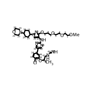 COCCOCCOCCCOc1nn(C2CCC(N3CCOCC3)CC2)cc1Nc1ncc(-c2ccc(Cl)c(O[C@@H](C)CNC=N)c2)cn1